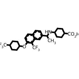 CC(NC1CCC(C(=O)O)CC1)c1ccc2ccc(OC3CCC(C(F)(F)F)CC3)c(C(F)(F)F)c2c1